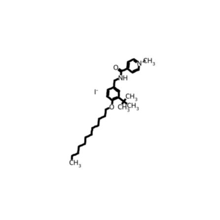 CCCCCCCCCCCCOc1ccc(CNC(=O)c2cc[n+](C)cc2)cc1C(C)(C)C.[I-]